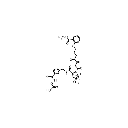 COC(=O)c1ccccc1OCCCC(=O)NCC(=O)N1[C@H]2C[C@@]2(C)C[C@H]1C(=O)NCc1cc(C(=N)NOC(C)=O)cs1